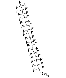 CCC(F)(F)C(F)(F)C(F)(F)C(F)(F)C(F)(F)C(F)(F)C(F)(F)C(F)(F)C(F)(F)C(F)(F)C(F)(F)C(F)(F)C(F)(F)C(F)(F)C(F)(F)C(F)(F)C(F)(F)F